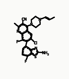 CC=CN1CCN(c2c(C#N)c(C)nc3c(F)c(-c4ccc(F)c5sc(N)nc45)c(Cl)cc23)CC1